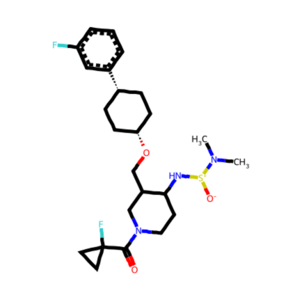 CN(C)[S+]([O-])NC1CCN(C(=O)C2(F)CC2)CC1CO[C@H]1CC[C@@H](c2cccc(F)c2)CC1